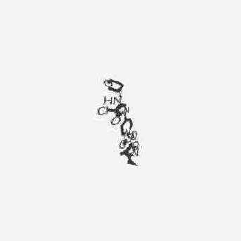 Cc1c(C2CC2)noc1S(=O)(=O)N1CCC(n2ncc(NC[C@H]3CCCOC3)c(Cl)c2=O)CC1